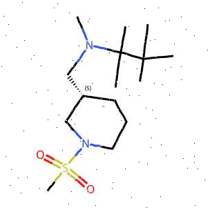 CN(C[C@@H]1CCCN(S(C)(=O)=O)C1)C(C)(C)C(C)(C)C